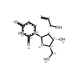 C=CCO.O=c1ccn([C@H]2C[C@H](O)[C@@H](CO)O2)c(=O)[nH]1